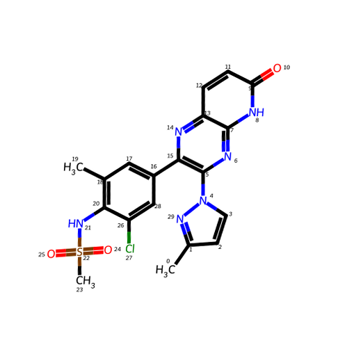 Cc1ccn(-c2nc3[nH]c(=O)ccc3nc2-c2cc(C)c(NS(C)(=O)=O)c(Cl)c2)n1